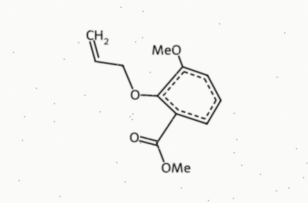 C=CCOc1c(OC)cccc1C(=O)OC